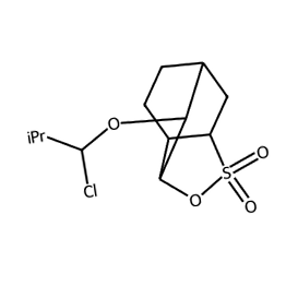 CC(C)C(Cl)OC1C2CCC3C1OS(=O)(=O)C3C2